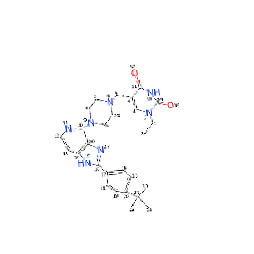 CCn1cc(CN2CCN(c3nccc4[nH]c(-c5ccc(C(C)(C)C)cc5)nc34)CC2)c(=O)[nH]c1=O